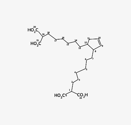 O=C(O)C(CCCCCCC1C=CCC1CCCCCCC(C(=O)O)C(=O)O)C(=O)O